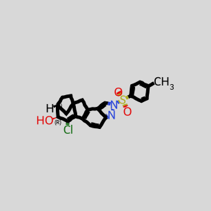 Cc1ccc(S(=O)(=O)n2cc3c4c(ccc3n2)C2=C(Cl)[C@H](O)[C@@H]3CCC2(C4)C3)cc1